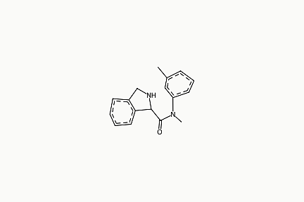 Cc1cccc(N(C)C(=O)C2NCc3ccccc32)c1